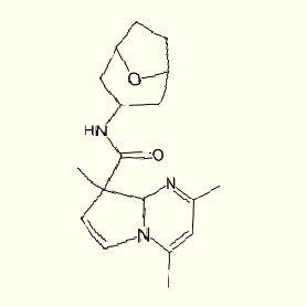 CC1=CC(C)=NC2N1C=CC2(C)C(=O)NC1CC2CCC(C1)O2